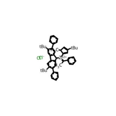 C/[C](c1ccccc1)=[Zr+2](/[C]1=CC(C(C)(C)C)=CC1C)[CH]1c2cc(-c3ccccc3)c(C(C)(C)C)cc2-c2cc(C(C)(C)C)c(-c3ccccc3)cc21.[Cl-].[Cl-]